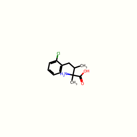 CC(Cc1ccccc1Cl)C(C)(N)C(=O)O